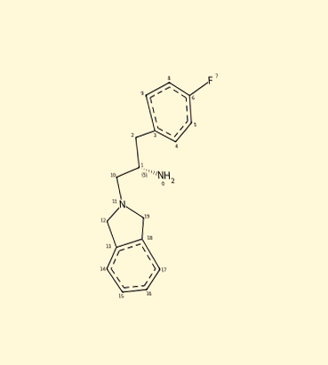 N[C@@H](Cc1ccc(F)cc1)CN1Cc2ccccc2C1